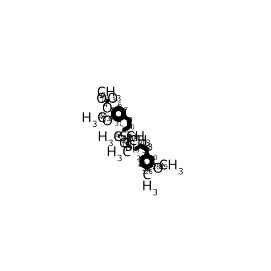 COC(=O)Oc1ccc(/C=C\C[Si](C)(C)O[Si](C)(C)C/C=C\c2ccc(C)c(OC)c2)cc1OC